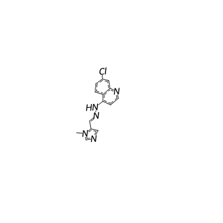 Cn1cncc1C=NNc1ccnc2cc(Cl)ccc12